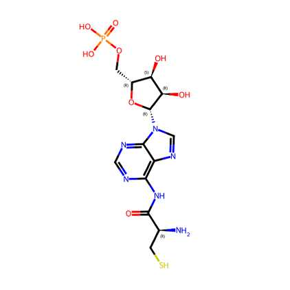 N[C@@H](CS)C(=O)Nc1ncnc2c1ncn2[C@@H]1O[C@H](COP(=O)(O)O)[C@@H](O)[C@H]1O